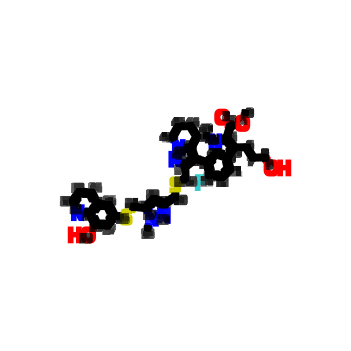 COC(=O)c1c(CCCO)c2ccc(F)c(-c3c(CSCc4cc(CSc5cc(O)c6ncccc6c5)n(C)n4)nn4c3CCCC4)c2n1C